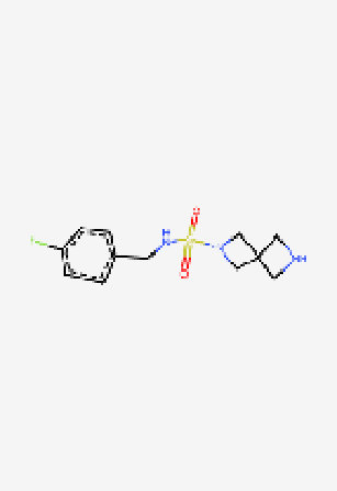 O=S(=O)(NCc1ccc(F)cc1)N1CC2(CNC2)C1